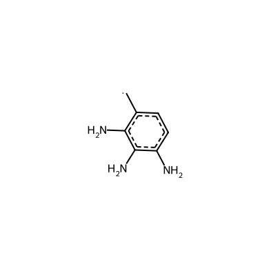 [CH2]c1ccc(N)c(N)c1N